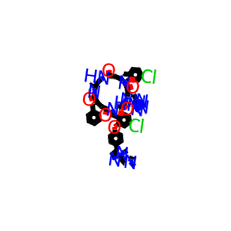 C[C@H]1CNC(=O)C[C@H](Cc2ccc(Cl)cc2)N(C)C(=O)[C@H](Cc2nnn[nH]2)NC(=O)[C@H](C)N(Cc2ccc(Cl)cc2Oc2ccc(-c3cnc(CN(C)C)n3C)cc2)C(=O)C[C@@H](Cc2ccccc2)C(=O)N1C